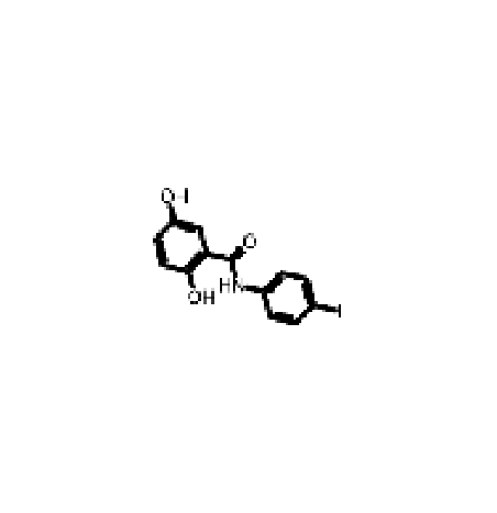 O=C(Nc1ccc(I)cc1)c1cc(O)ccc1O